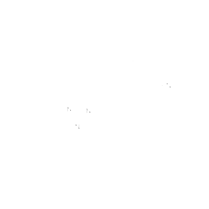 N#Cc1ccc2c(c1)C(c1ccccc1)(c1ccccc1)c1ccc(-c3cccc(-c4nc(-c5ccccc5)nc(-c5cc(-c6ccccc6)cc(-c6ccccc6)c5)n4)c3)cc1-2